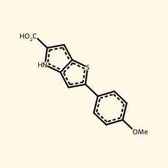 COc1ccc(-c2cc3[nH]c(C(=O)O)cc3s2)cc1